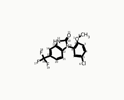 COc1ccc(Cl)cc1-n1c(=O)[nH]c2cc(C(F)(F)F)ccc21